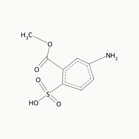 COC(=O)c1cc(N)ccc1S(=O)(=O)O